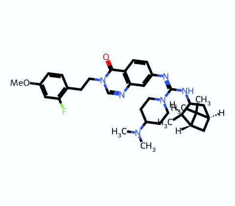 COc1ccc(CCn2cnc3cc(N=C(NC4C[C@H]5C[C@H]([C@H]4C)C5(C)C)N4CCC(N(C)C)CC4)ccc3c2=O)c(F)c1